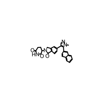 Cn1ncc(-c2ccc3c(c2)CN(C2CCC(=O)NC2=O)C3=O)c1-c1ccc2ccccc2c1